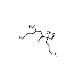 CCCCC(C)([C]=O)C(=O)CC(C)CCC